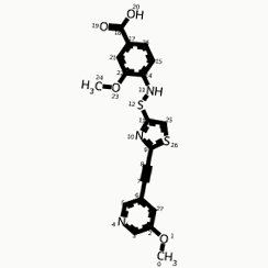 COc1cncc(C#Cc2nc(SNc3ccc(C(=O)O)cc3OC)cs2)c1